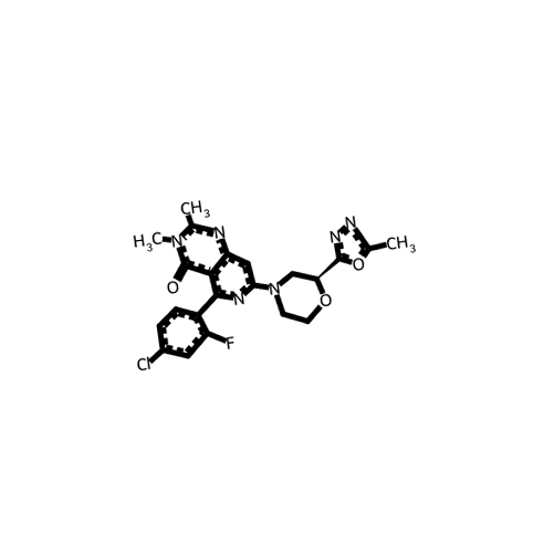 Cc1nnc([C@@H]2CN(c3cc4nc(C)n(C)c(=O)c4c(-c4ccc(Cl)cc4F)n3)CCO2)o1